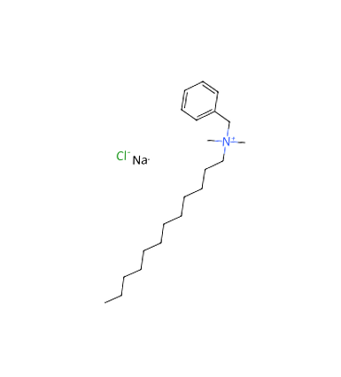 CCCCCCCCCCCC[N+](C)(C)Cc1ccccc1.[Cl-].[Na]